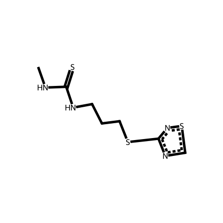 CNC(=S)NCCCSc1ncsn1